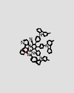 Cc1ccc2c(c1)c1ccccc1n2-c1ccc(-c2c(C#N)c(-n3c4ccccc4c4ncccc43)c(-c3nc(-c4ccccc4)nc(-c4ccccc4)n3)c(-c3ccc(-n4c5ccccc5c5cc(C)ccc54)cc3)c2-c2ccc(-n3c4ccccc4c4cc(C)ccc43)cc2)cc1